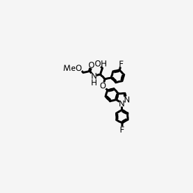 COCC(=O)NC(CO)C(Oc1ccc2c(cnn2-c2ccc(F)cc2)c1)c1cccc(F)c1